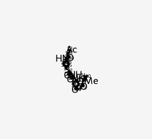 CO[C@H]1[C@H](C2(C)O[C@@H]2CC=C(C)C)[C@]2(CC[C@H]1NC(=O)NC(=O)CSc1ccc(NC(=O)CCC(C)=O)cc1)CO2